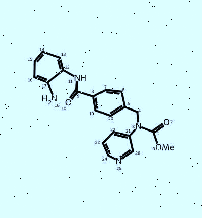 COC(=O)N(Cc1ccc(C(=O)Nc2ccccc2N)cc1)c1cccnc1